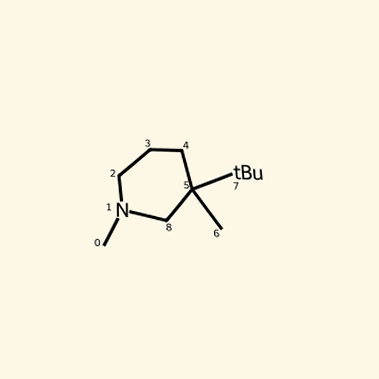 CN1CCCC(C)(C(C)(C)C)C1